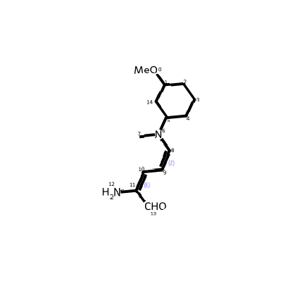 COC1CCCC(N(C)/C=C\C=C(\N)C=O)C1